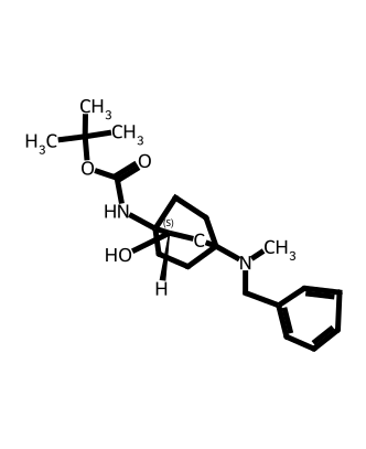 CN(Cc1ccccc1)C12CCC(NC(=O)OC(C)(C)C)(CC1)[C@@H](O)C2